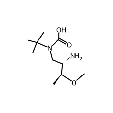 CO[C@@H](C)[C@@H](N)CN(C(=O)O)C(C)(C)C